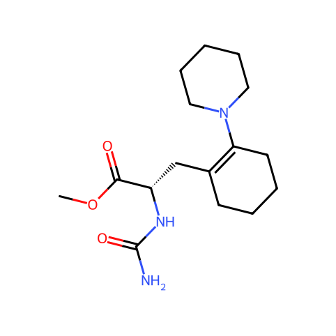 COC(=O)[C@H](CC1=C(N2CCCCC2)CCCC1)NC(N)=O